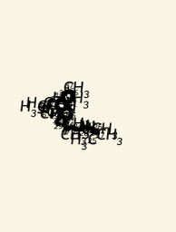 CC[C@H]1[C@@H](O[Si](C)(C)C)[C@@H]2[C@H](CC[C@]3(C)[C@@H]([C@H](C)CCc4nnc(C(C)(C)C)s4)CC[C@@H]23)[C@@]2(C)CC[C@@H](C)C[C@@H]12